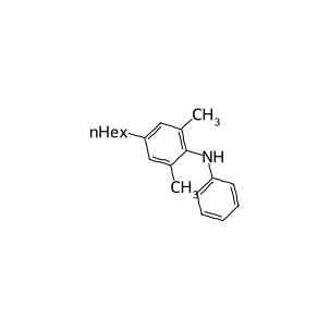 CCCCCCc1cc(C)c(Nc2ccccc2)c(C)c1